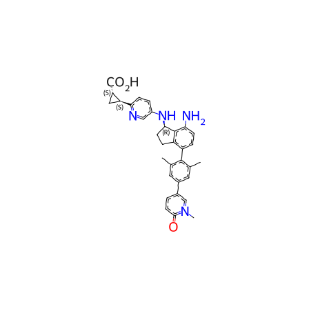 Cc1cc(-c2ccc(=O)n(C)c2)cc(C)c1-c1ccc(N)c2c1CC[C@H]2Nc1ccc([C@H]2C[C@@H]2C(=O)O)nc1